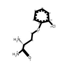 NC(=O)[C@H](N)CCOc1ccccc1Cl